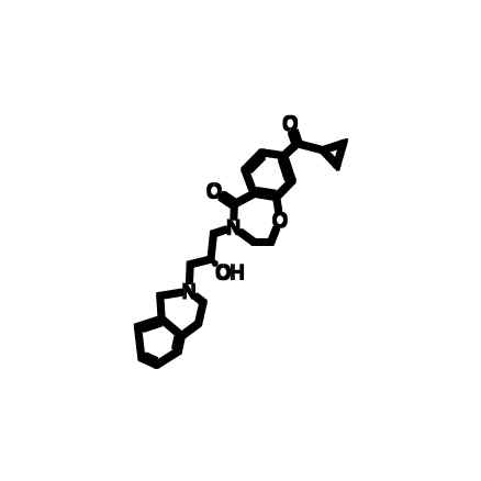 O=C(c1ccc2c(c1)OCCN(C[C@H](O)CN1CCc3ccccc3C1)C2=O)C1CC1